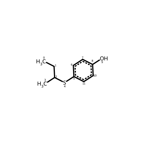 CCC(C)Sc1ccc(O)cc1